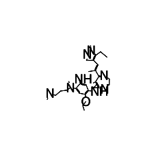 CCOc1cc(N(C)CCCN(C)C)c(N)cc1NC1=CC(/C(C)=C/c2cnn(C)c2CC)=NCC=N1